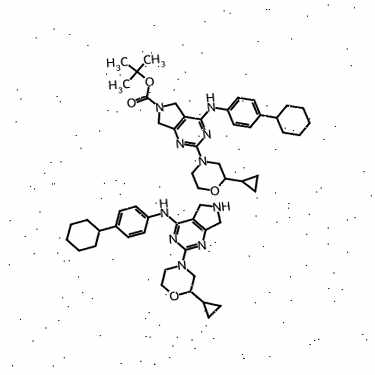 CC(C)(C)OC(=O)N1Cc2nc(N3CCOC(C4CC4)C3)nc(Nc3ccc(C4CCCCC4)cc3)c2C1.c1cc(C2CCCCC2)ccc1Nc1nc(N2CCOC(C3CC3)C2)nc2c1CNC2